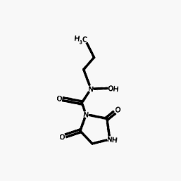 CCCN(O)C(=O)N1C(=O)CNC1=O